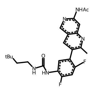 CC(=O)Nc1cc2nc(C)c(-c3cc(NC(=O)NCCC(C)(C)C)c(F)cc3F)cc2cn1